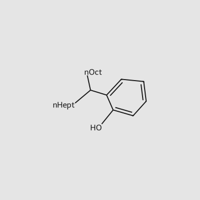 CCCCCCCCC(CCCCCCC)c1ccccc1O